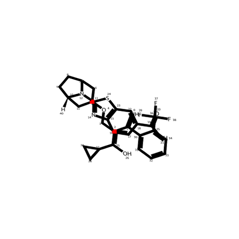 N=C(/C(COC1CC2CC[C@@H](C1)N2c1nc2ccc(C(=O)O)cc2s1)=C(\O)C1CC1)c1ccccc1C(F)(F)F